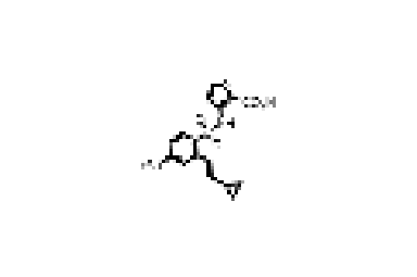 CC(C)(C)c1ccc(S(=O)(=O)Nc2ccsc2C(=O)O)c(C=CC2CC2)c1